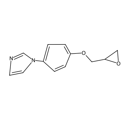 c1cn(-c2ccc(OCC3CO3)cc2)cn1